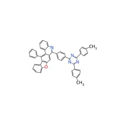 Cc1ccc(-c2nc(-c3ccc(C)cc3)nc(-c3ccc(-c4nc5ccccc5c5c(-c6ccccc6)c6c(cc45)oc4ccccc46)cc3)n2)cc1